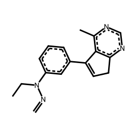 C=NN(CC)c1cccc(C2=CCc3ncnc(C)c32)c1